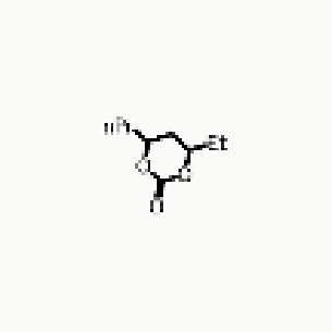 CCCC1CC(CC)OC(=O)O1